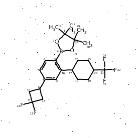 CC1(C)OB(c2ccc(C3CC(F)(F)C3)cc2C2CCC(C(F)(F)F)CC2)OC1(C)C